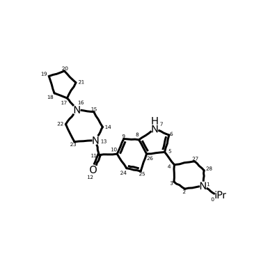 CC(C)N1CCC(c2c[nH]c3cc(C(=O)N4CCN(C5CCCC5)CC4)ccc23)CC1